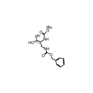 CCC[C@H](O)[C@H](CNC(=O)OCc1ccccc1)NC(=O)OC(C)(C)C